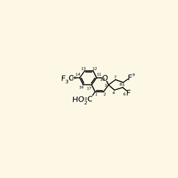 O=C(O)C1=CC(CCF)(CCF)Oc2ccc(C(F)(F)F)cc21